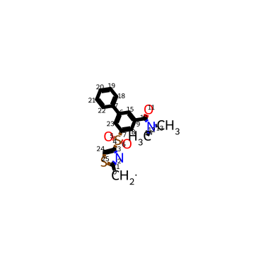 [CH2]c1nc(S(=O)(=O)c2cc(C(=O)N(C)C)cc(-c3ccccc3)c2)cs1